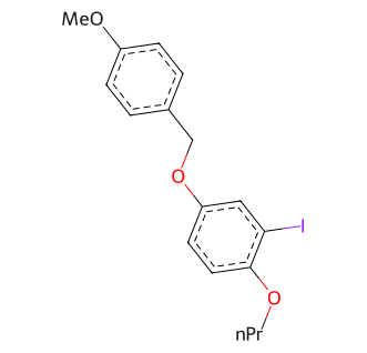 CCCOc1ccc(OCc2ccc(OC)cc2)cc1I